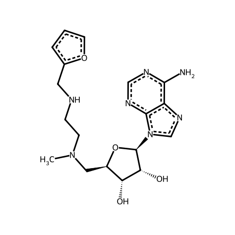 CN(CCNCc1ccco1)C[C@H]1O[C@@H](n2cnc3c(N)ncnc32)[C@H](O)[C@@H]1O